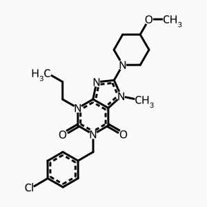 CCCn1c(=O)n(Cc2ccc(Cl)cc2)c(=O)c2c1nc(N1CCC(OC)CC1)n2C